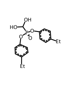 CCc1ccc(OP(=O)(Oc2ccc(CC)cc2)C(O)O)cc1